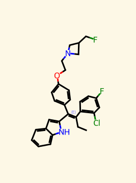 CC/C(=C(/c1ccc(OCCN2CC(CF)C2)cc1)c1cc2ccccc2[nH]1)c1ccc(F)cc1Cl